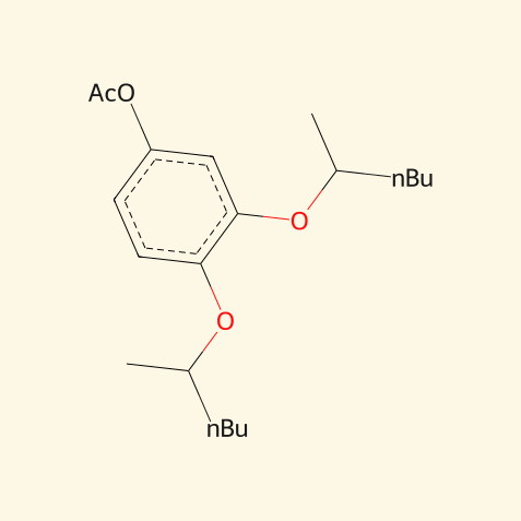 CCCCC(C)Oc1ccc(OC(C)=O)cc1OC(C)CCCC